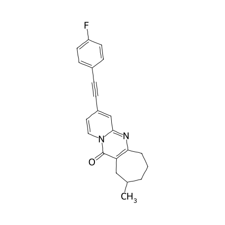 CC1CCCc2nc3cc(C#Cc4ccc(F)cc4)ccn3c(=O)c2C1